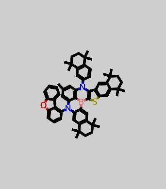 Cc1cc2c3c(c1)N(c1cccc4oc5ccccc5c14)c1cc4c(cc1B3c1sc3cc5c(cc3c1N2c1ccc2c(c1)C(C)(C)CCC2(C)C)C(C)(C)CCC5(C)C)C(C)(C)CCC4(C)C